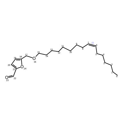 CCCCCC/C=C\CCCCCCCCOCc1ccc(C=O)o1